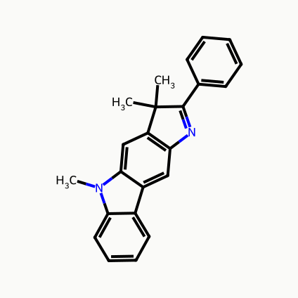 Cn1c2ccccc2c2cc3c(cc21)C(C)(C)C(c1ccccc1)=N3